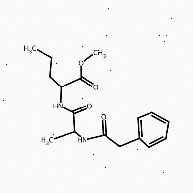 CCCC(NC(=O)C(C)NC(=O)Cc1ccccc1)C(=O)OC